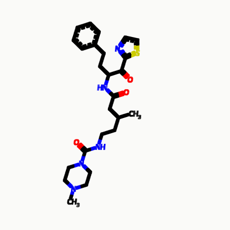 CC(CCNC(=O)N1CCN(C)CC1)CC(=O)NC(CCc1ccccc1)C(=O)c1nccs1